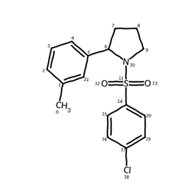 Cc1cccc(C2CCCN2S(=O)(=O)c2ccc(Cl)cc2)c1